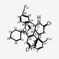 O=C1C[C@@H](c2cc(F)ccc2F)[C@]2(C(=O)Nc3cc(Cl)ccc32)[C@@H](c2cc(F)ccc2OC2CCCCC2)N1